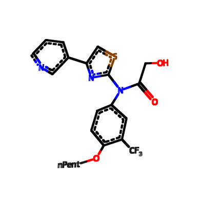 CCCCCOc1ccc(N(C(=O)CO)c2nc(-c3cccnc3)cs2)cc1C(F)(F)F